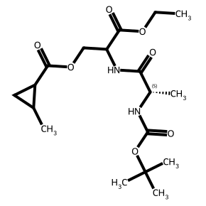 CCOC(=O)C(COC(=O)C1CC1C)NC(=O)[C@H](C)NC(=O)OC(C)(C)C